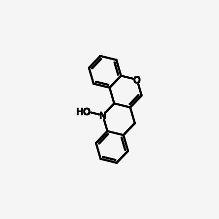 ON1c2ccccc2CC2=COc3ccccc3C21